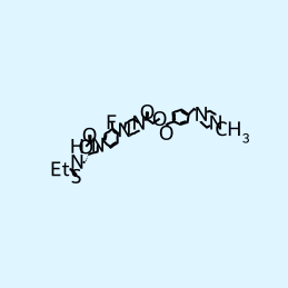 CCC(=S)NC[C@H]1CN(c2ccc(N3CCN(C(=O)COC(=O)c4ccc(CN5CCN(C)CC5)cc4)CC3)c(F)c2)C(=O)O1